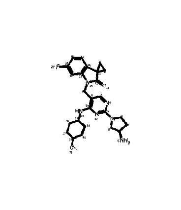 NC1CCN(c2ncc(CN3C(=O)C4(CC4)c4ccc(F)cc43)c(NC3CCC(O)CC3)n2)C1